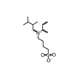 C=CC(=C)/[N+](=C\C(C)C(C)C)CCCCS(=O)(=O)[O-]